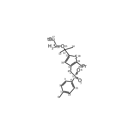 Cc1ccc(S(=O)(=O)Sc2cc(C(C)(C)O[SiH2]C(C)(C)C)sc2C(C)C)cc1